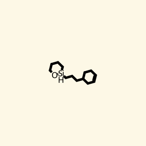 C1=CCC(CCC[SiH]2CCCCO2)CC1